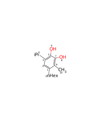 CCCCCCc1cc(C(C)C)c(O)c(O)c1C